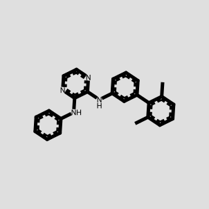 Cc1cccc(C)c1-c1cccc(Nc2nccnc2Nc2ccccc2)c1